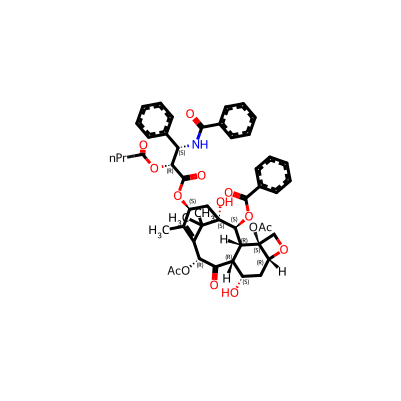 CCCC(=O)O[C@@H](C(=O)O[C@H]1C[C@@]2(O)[C@@H](OC(=O)c3ccccc3)[C@H]3[C@@H](C(=O)[C@H](OC(C)=O)C(=C1C)C2(C)C)[C@@H](O)C[C@H]1OC[C@@]31OC(C)=O)[C@@H](NC(=O)c1ccccc1)c1ccccc1